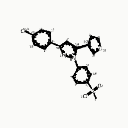 CS(=O)(=O)c1ccc(-n2nc(-c3ccc(Cl)cc3)cc2-c2ccoc2)cc1